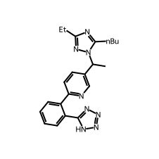 CCCCc1nc(CC)nn1C(C)c1ccc(-c2ccccc2-c2nnn[nH]2)nc1